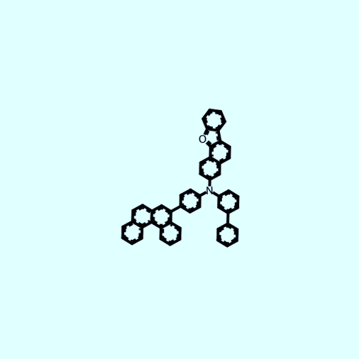 c1ccc(-c2cccc(N(c3ccc(-c4cc5ccc6ccccc6c5c5ccccc45)cc3)c3ccc4c(ccc5c6ccccc6oc45)c3)c2)cc1